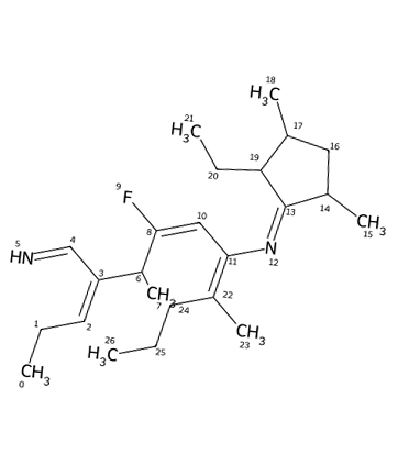 CC/C=C(\C=N)C(C)\C(F)=C/C(/N=C1/C(C)CC(C)C1CC)=C(/C)CCC